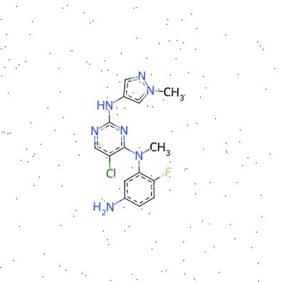 CN(c1cc(N)ccc1F)c1nc(Nc2cnn(C)c2)ncc1Cl